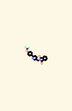 O=C1c2ccccc2C(=O)N1Cc1ccc(-c2ccc(OC(F)F)cc2)nc1